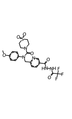 COc1ccc(N(Cc2ccc(C(=O)NNC(=O)C(F)(F)F)cn2)C(=O)N2CCS(=O)(=O)CC2)cc1